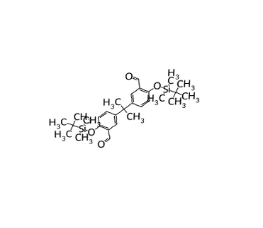 CC(C)(c1ccc(O[Si](C)(C)C(C)(C)C)c(C=O)c1)c1ccc(O[Si](C)(C)C(C)(C)C)c(C=O)c1